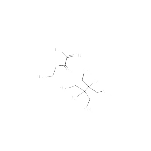 C=C(C)C(=O)OCC.CCC(O)(CC)C(O)(CC)CC